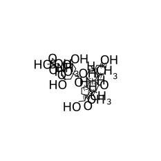 C[C@]12CC[C@@H](O)C[C@H]1CC[C@@H]1[C@@H]2C(=O)C[C@@]2(C)[C@H]1CC[C@]2(O)C(=O)CO.N.O=C(O)CC(O)(CC(=O)O)C(=O)O.O=S(=O)(O)O